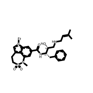 CCn1cc2c3c(cc(C(=O)N[C@@H](Cc4ccccc4)[C@H](O)CNCC=C(C)C)cc31)N(C)S(=O)(=O)CC2